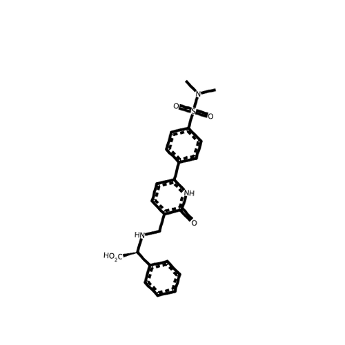 CN(C)S(=O)(=O)c1ccc(-c2ccc(CN[C@H](C(=O)O)c3ccccc3)c(=O)[nH]2)cc1